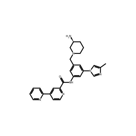 Cc1cn(-c2cc(CN3CCC[C@H](N)C3)cc(NC(=O)c3cc(-c4ccccn4)ccn3)c2)cn1